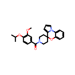 COc1cc(C(=O)N2CCC3(CC2)Oc2ccccc2-n2cccc23)ccc1OC(C)C